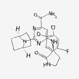 NC(=O)c1cc(N[C@H]2CCNC2=O)nc(N2[C@@H]3CC[C@H]2C[C@H](Oc2ccc(F)cc2Cl)C3)n1